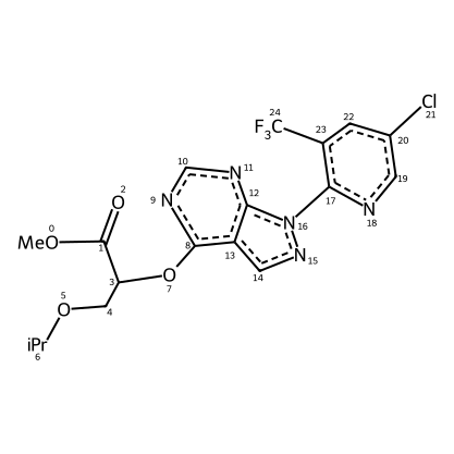 COC(=O)C(COC(C)C)Oc1ncnc2c1cnn2-c1ncc(Cl)cc1C(F)(F)F